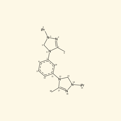 CC1=NN(C(C)C)CN1c1cccc(N2CN(C(C)C)N=C2C)c1